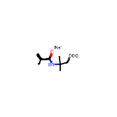 C=C(C)C(=O)NC(C)(C)CC(=O)[O-].[Na+]